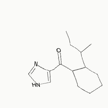 CCC(C)C1CCCCC1C(=O)c1c[nH]cn1